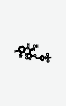 CS(=O)(=O)N1CC(COc2nonc2/C(=N/O)Nc2ccc(F)c(Br)c2)C1